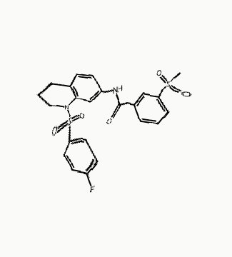 CS(=O)(=O)c1cccc(C(=O)Nc2ccc3c(c2)N(S(=O)(=O)c2ccc(F)cc2)CCC3)c1